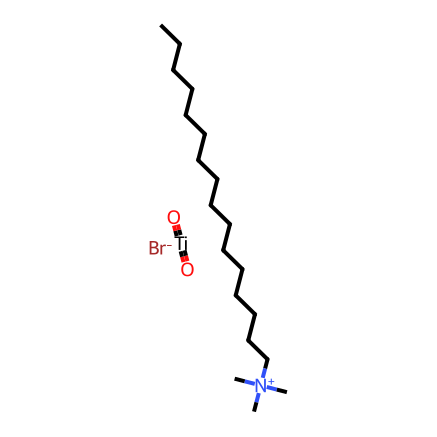 CCCCCCCCCCCCCCCC[N+](C)(C)C.[Br-].[O]=[Ti]=[O]